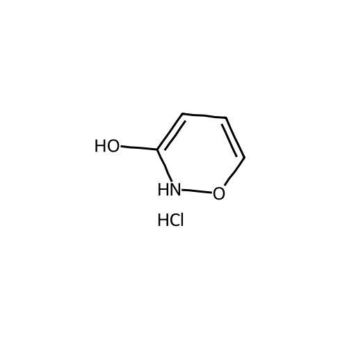 Cl.OC1=CC=CON1